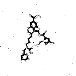 CCn1nc(C)cc1C(=O)Nc1nc2cc(C(N)=O)cc3c2n1[C@@H](CCCCN(Cc1ccccn1)C(=O)O)CO3